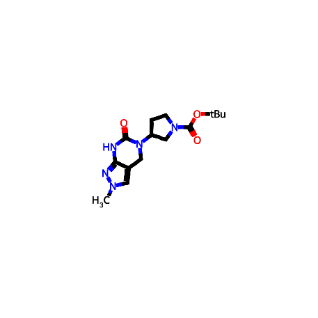 Cn1cc2c(n1)NC(=O)N(C1CCN(C(=O)OC(C)(C)C)C1)C2